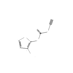 C#CNC(=O)Oc1sccc1C